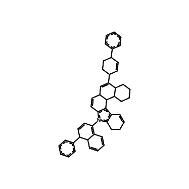 C1=CC2=C(n3c4c(c5c3CCC=C5)C3C(C=C4)C=C(C4C=CC(c5ccccc5)CC4)C4CCCCC43)C=CC(c3ccccc3)C2C=C1